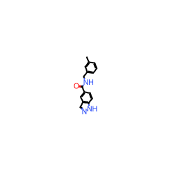 Cc1cccc(CNC(=O)c2ccc3[nH]ncc3c2)c1